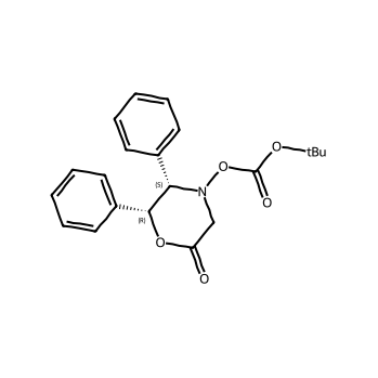 CC(C)(C)OC(=O)ON1CC(=O)O[C@H](c2ccccc2)[C@@H]1c1ccccc1